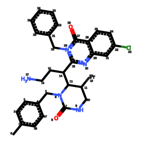 Cc1ccc(CN2C(=O)NCC(C(C)C)C2C(CCN)c2nc3cc(Cl)ccc3c(=O)n2Cc2ccccc2)cc1